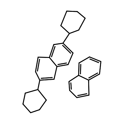 c1cc2cc(C3CCCCC3)ccc2cc1C1CCCCC1.c1ccc2ccccc2c1